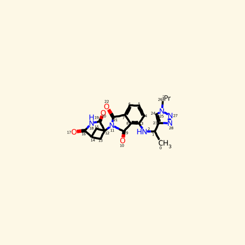 CC(Nc1cccc2c1C(=O)N(C13CC(C1)C(=O)NC3=O)C2=O)c1cn(C(C)C)nn1